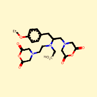 CCOc1ccc(CC(CN2CC(=O)OC(=O)C2)N(CCN2CC(=O)OC(=O)C2)CC(=O)O)cc1